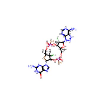 Nc1nc2c(ncn2[C@@H]2S[C@@H]3COP(=O)(S)O[C@H]4[C@H](F)C(n5nnc6c(N)ncnc65)O[C@@H]4COP(=O)(S)O[C@@H]2[C@H]3F)c(=O)[nH]1